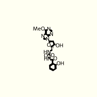 COc1ncnc2c1ncn2[C@H]1C[C@H](O)[C@@H](CNS(=O)(=O)NC(=O)c2ccccc2O)O1